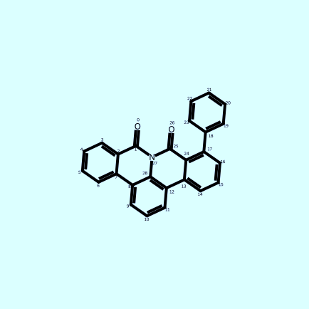 O=c1c2ccccc2c2cccc3c4cccc(-c5ccccc5)c4c(=O)n1c23